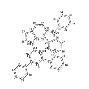 c1ccc(-c2nc(-c3ccccc3)nc(-n3ccc4ccc5c(c6ccccc6n5-c5ccccc5)c43)n2)cc1